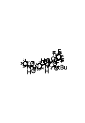 CC(C)(C)OC(=O)C[C@H](NC(=O)C1CCN(C(=O)C(=O)NC2CCCC2)CC1)C(O)COc1c(F)c(F)cc(F)c1F